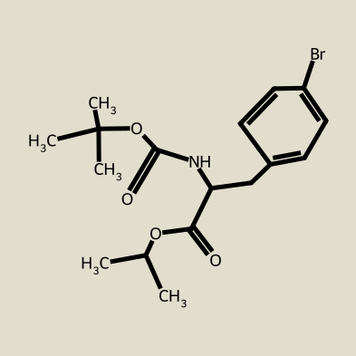 CC(C)OC(=O)C(Cc1ccc(Br)cc1)NC(=O)OC(C)(C)C